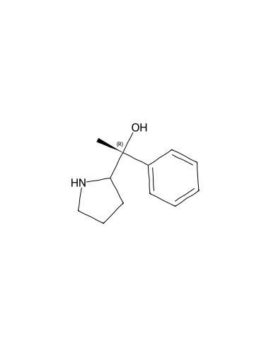 C[C@@](O)(c1ccccc1)C1CCCN1